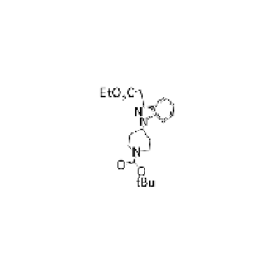 CCOC(=O)Cc1nn(C2CCN(C(=O)OC(C)(C)C)CC2)c2ccccc12